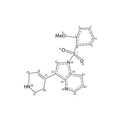 COc1ccccc1S(=O)(=O)n1cc(C2=CCNCC2)c2ncccc21